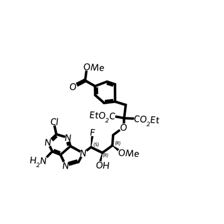 CCOC(=O)C(Cc1ccc(C(=O)OC)cc1)(OC[C@@H](OC)[C@@H](O)[C@H](F)n1cnc2c(N)nc(Cl)nc21)C(=O)OCC